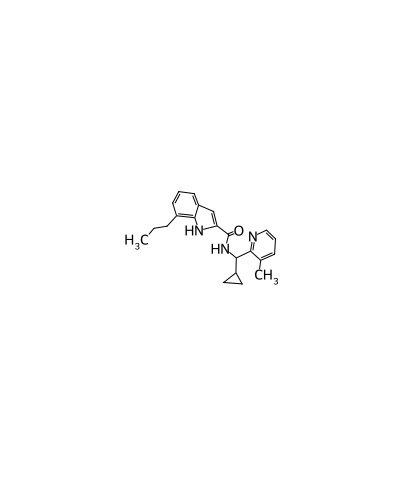 CCCc1cccc2cc(C(=O)NC(c3ncccc3C)C3CC3)[nH]c12